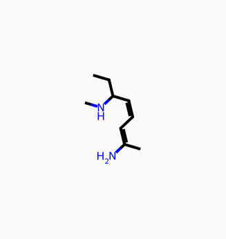 CCC(/C=C\C=C(/C)N)NC